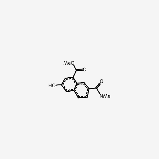 CNC(=O)c1ccc2cc(O)cc(C(=O)OC)c2c1